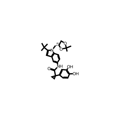 CC1(C)OC[C@@H](Cn2c(C(C)(C)C)cc3cc(NC(=O)C4(c5ccc(O)c(O)c5)CC4)ccc32)O1